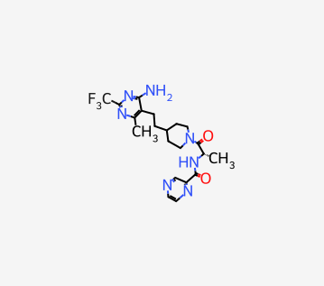 Cc1nc(C(F)(F)F)nc(N)c1CCC1CCN(C(=O)[C@H](C)NC(=O)c2cnccn2)CC1